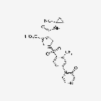 N#CC1(NC(=O)[C@@H]2C[C@@H](S(=O)(=O)c3ccc(-n4ccncc4=O)cc3C(F)(F)F)CN2C(=O)O)CC1